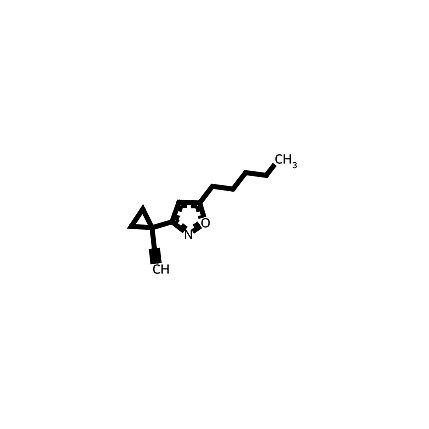 C#CC1(c2cc(CCCCC)on2)CC1